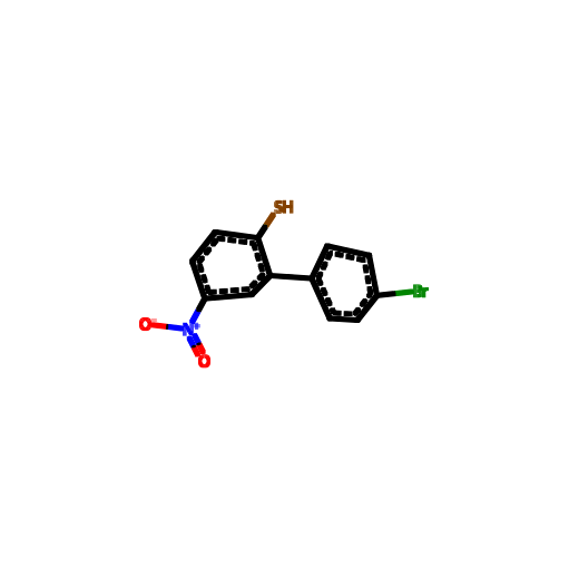 O=[N+]([O-])c1ccc(S)c(-c2ccc(Br)cc2)c1